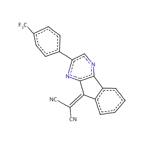 N#CC(C#N)=C1c2ccccc2-c2ncc(-c3ccc(C(F)(F)F)cc3)nc21